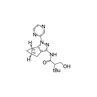 CC(C)(C)C(CO)C(=O)Nc1nn(-c2cnccn2)c2c1C[C@@H]1C[C@H]21